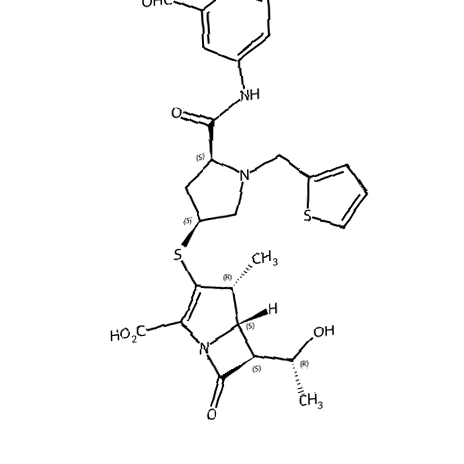 C[C@@H](O)[C@H]1C(=O)N2C(C(=O)O)=C(S[C@H]3C[C@@H](C(=O)Nc4cccc(C=O)c4)N(Cc4cccs4)C3)[C@H](C)[C@H]12